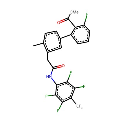 COC(=O)c1c(F)cccc1-c1ccc(C)c(CC(=O)Nc2c(F)c(F)c(C(F)(F)F)c(F)c2F)c1